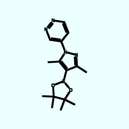 Cc1nn(-c2ccnnc2)c(C)c1B1OC(C)(C)C(C)(C)O1